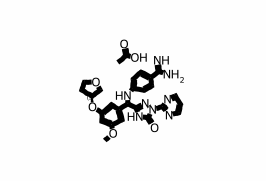 CC(=O)O.COc1cc(O[C@H]2CCOC2)cc(C(Nc2ccc(C(=N)N)cc2)c2nn(-c3ncccn3)c(=O)[nH]2)c1